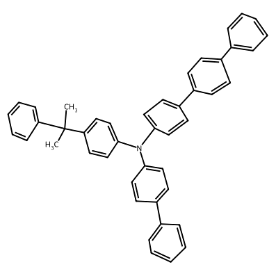 CC(C)(c1ccccc1)c1ccc(N(c2ccc(-c3ccccc3)cc2)c2ccc(-c3ccc(-c4ccccc4)cc3)cc2)cc1